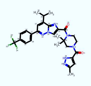 Cc1cc(C(=O)N2CCN(C(=O)c3cn4nc(-c5ccc(C(F)(F)F)cc5)cc(C(C)C)c4n3)C(C)(C)C2)[nH]n1